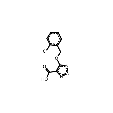 O=C(O)c1nn[nH]c1OCc1ccccc1Cl